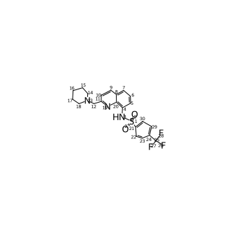 O=S(=O)(Nc1cccc2ccc(CN3CCCCC3)nc12)c1ccc(C(F)(F)F)cc1